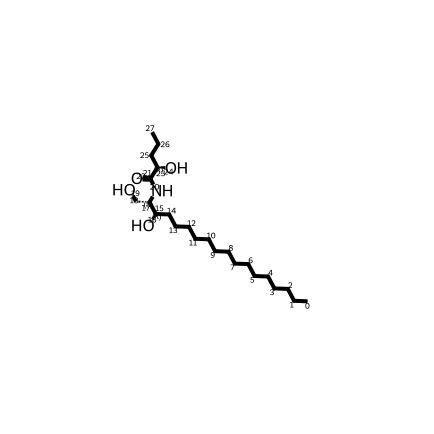 CCCCCCCCCCCCCCC[C@@H](O)[C@H](CO)NC(=O)[C@H](O)CCC